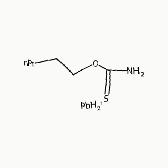 CCCCCOC(N)=S.[PbH2]